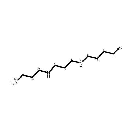 CCCCCNCCCNCCCN